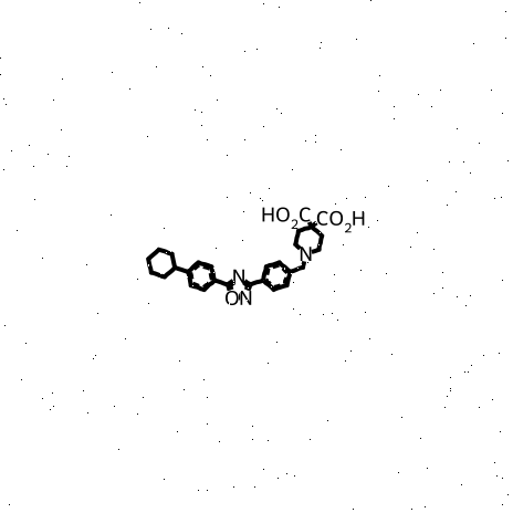 O=C(O)C1(C(=O)O)CCN(Cc2ccc(-c3noc(-c4ccc(C5CCCCC5)cc4)n3)cc2)CC1